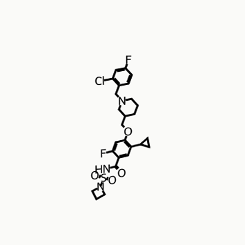 O=C(NS(=O)(=O)N1CCC1)c1cc(C2CC2)c(OCC2CCCN(Cc3ccc(F)cc3Cl)C2)cc1F